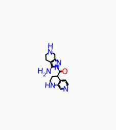 Nc1c2c(nn1C(=O)C1CCNc3cnccc31)CNCC2